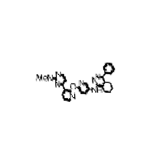 CNc1nccc(-c2cccnc2Oc2ccc(Nc3nnc(-c4ccccc4)c4c3CCCC4)cn2)n1